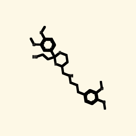 COc1ccc(CCCNCC2CCSC(CCO)(c3ccc(OC)c(OC)c3)S2)cc1OC